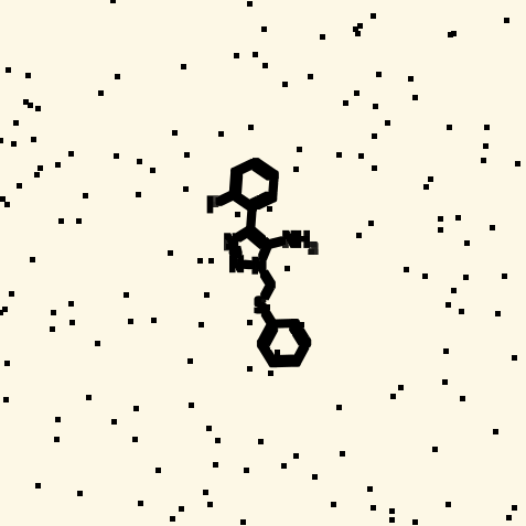 Nc1c(-c2ccccc2F)nnn1CSc1ccccc1